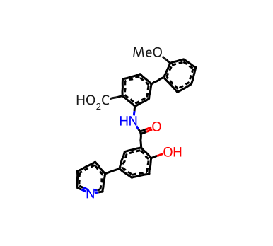 COc1ccccc1-c1ccc(C(=O)O)c(NC(=O)c2cc(-c3cccnc3)ccc2O)c1